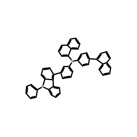 c1ccc(-n2c3ccccc3c3c(-c4cccc(N(c5ccc(-c6cccc7ccccc67)cc5)c5cccc6ccccc56)c4)cccc32)cc1